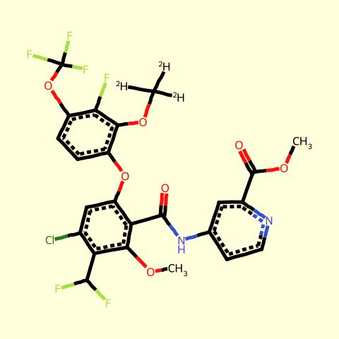 [2H]C([2H])([2H])Oc1c(Oc2cc(Cl)c(C(F)F)c(OC)c2C(=O)Nc2ccnc(C(=O)OC)c2)ccc(OC(F)(F)F)c1F